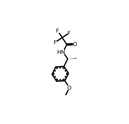 COc1cccc([C@@H](C)NC(=O)C(F)(F)F)c1